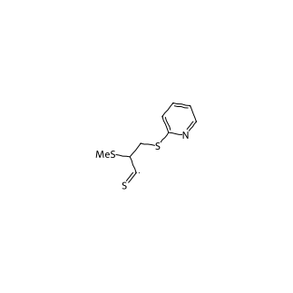 CSC([C]=S)CSc1ccccn1